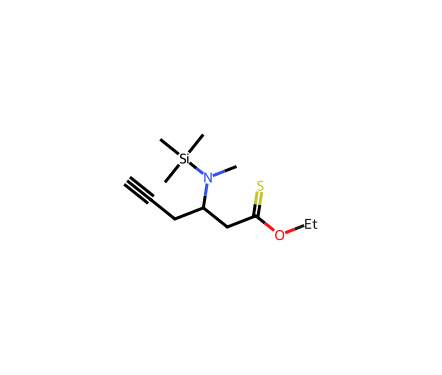 C#CCC(CC(=S)OCC)N(C)[Si](C)(C)C